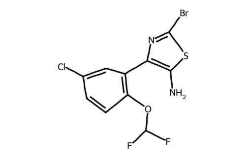 Nc1sc(Br)nc1-c1cc(Cl)ccc1OC(F)F